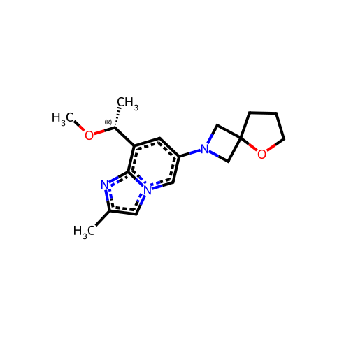 CO[C@H](C)c1cc(N2CC3(CCCO3)C2)cn2cc(C)nc12